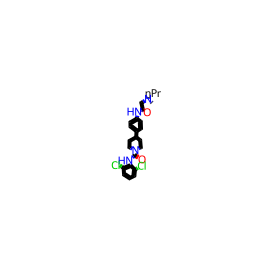 CCCN(C)CC(=O)Nc1ccc(C2CCN(C(=O)Nc3c(Cl)cccc3Cl)CC2)cc1